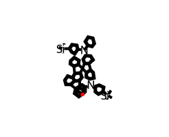 C[Si](C)(C)c1ccc(N(c2ccccc2)c2ccc3c(c2)C2(c4cc(N(c5ccccc5)c5ccc([Si](C)(C)C)cc5)ccc4-3)c3ccccc3-c3c2cc2c4c(cccc34)-c3ccccc3-2)cc1